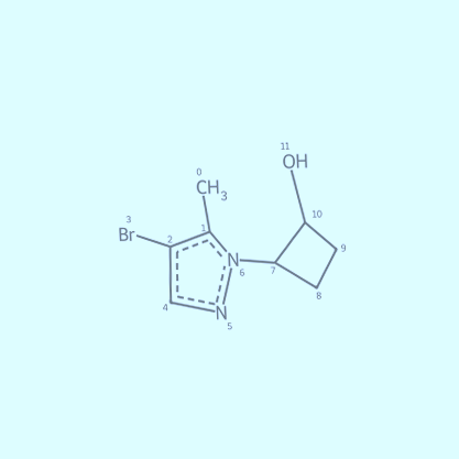 Cc1c(Br)cnn1C1CCC1O